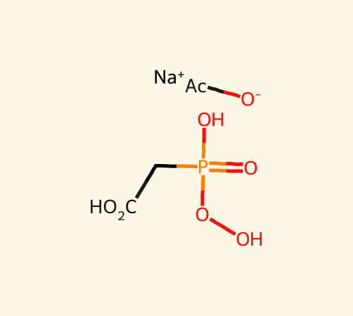 CC(=O)[O-].O=C(O)CP(=O)(O)OO.[Na+]